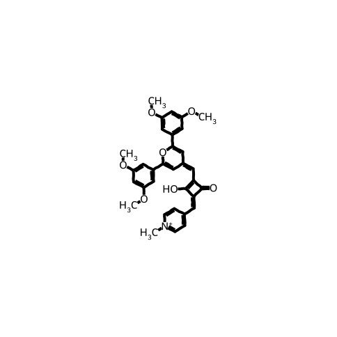 COc1cc(OC)cc(C2=CC(=CC3=C(O)C(=Cc4cc[n+](C)cc4)C3=O)C=C(c3cc(OC)cc(OC)c3)O2)c1